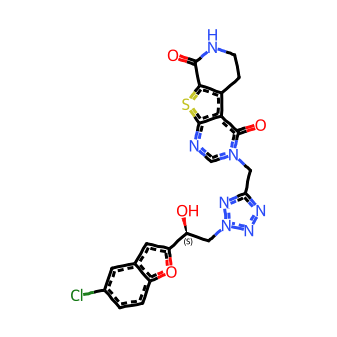 O=C1NCCc2c1sc1ncn(Cc3nnn(C[C@H](O)c4cc5cc(Cl)ccc5o4)n3)c(=O)c21